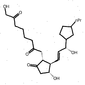 CCCC1CCC([C@H](O)C=C[C@H]2[C@H](O)CC(=O)[C@@H]2CC(=O)CCCCC(=O)CO)C1